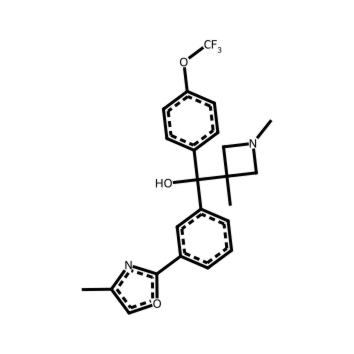 Cc1coc(-c2cccc(C(O)(c3ccc(OC(F)(F)F)cc3)C3(C)CN(C)C3)c2)n1